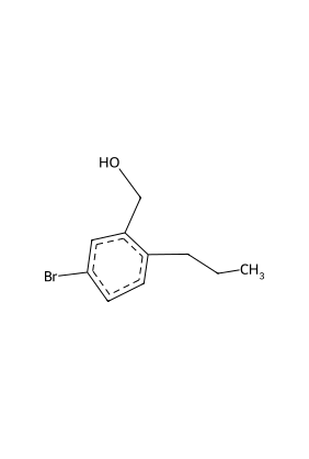 CCCc1ccc(Br)cc1CO